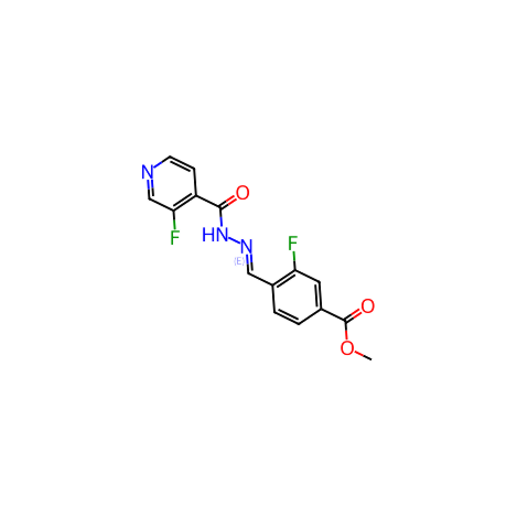 COC(=O)c1ccc(/C=N/NC(=O)c2ccncc2F)c(F)c1